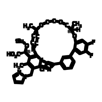 Cc1c([C@H](OC(C)(C)C)C(=O)O)c2n3c(Cl)c(nc3c1Cn1cccn1)-c1cccc(c1)-c1cc(F)c(F)cc1O[C@@H](C)COCCOC1(C)CCN2CC1